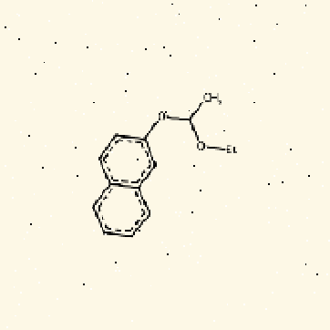 CCOC(C)Oc1ccc2ccccc2c1